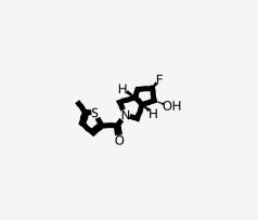 Cc1ccc(C(=O)N2C[C@@H]3C[C@@H](F)[C@H](O)[C@@H]3C2)s1